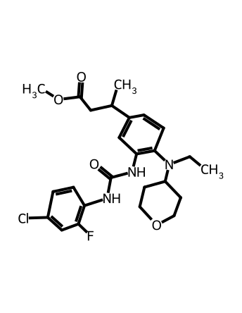 CCN(c1ccc(C(C)CC(=O)OC)cc1NC(=O)Nc1ccc(Cl)cc1F)C1CCOCC1